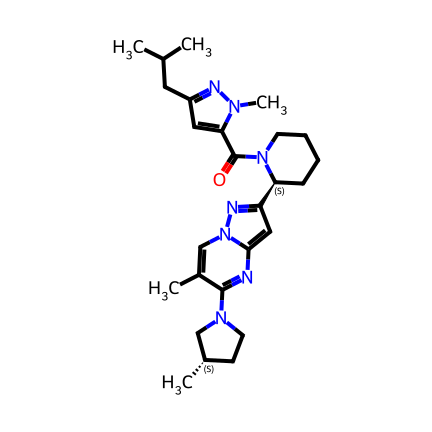 Cc1cn2nc([C@@H]3CCCCN3C(=O)c3cc(CC(C)C)nn3C)cc2nc1N1CC[C@H](C)C1